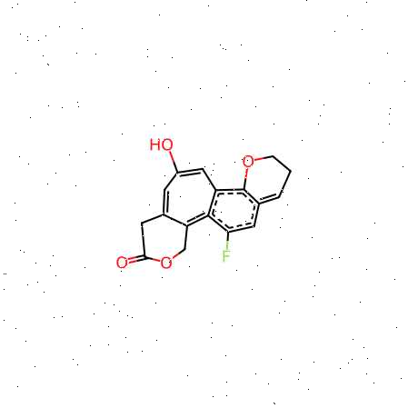 O=C1CC2=CC(O)=Cc3c4c(cc(F)c3=C2CO1)=CCCO4